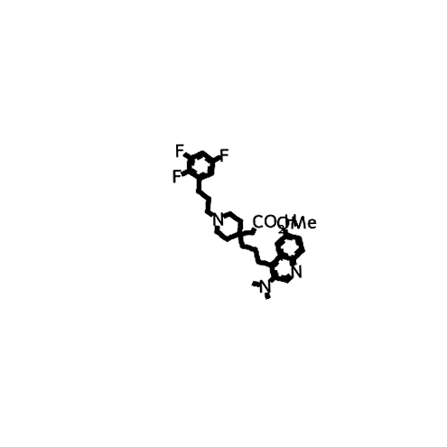 COc1ccc2ncc(N(C)C)c(CCCC3(CC(=O)O)CCN(CCCc4cc(F)cc(F)c4F)CC3)c2c1